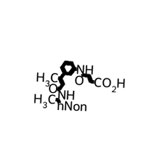 CCCCCCCCCC(C)NC(=O)C=C(C)c1cccc(NC(=O)C=CC(=O)O)c1